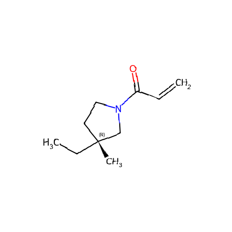 C=CC(=O)N1CC[C@@](C)(CC)C1